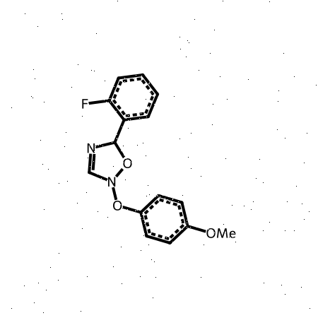 COc1ccc(ON2C=NC(c3ccccc3F)O2)cc1